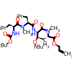 C=CCOC(=O)CN(C)C(=O)[C@@H](NC(=O)[C@H](CC(C)C)N(C)C(=O)[C@H](CC(C)C)NC(=O)OC(C)(C)C)[C@@H](C)OCCCC